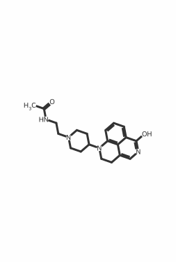 CC(=O)NCCN1CCC(N2CCc3cnc(O)c4cccc2c34)CC1